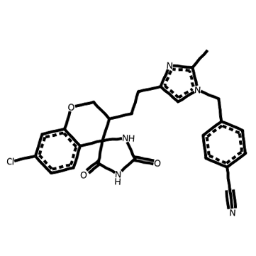 Cc1nc(CCC2COc3cc(Cl)ccc3C23NC(=O)NC3=O)cn1Cc1ccc(C#N)cc1